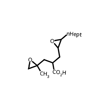 CCCCCCCC1OC1CC(CC1(C)CO1)C(=O)O